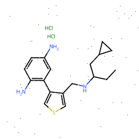 CCC(CC1CC1)NCc1cscc1-c1cc(N)ccc1N.Cl.Cl